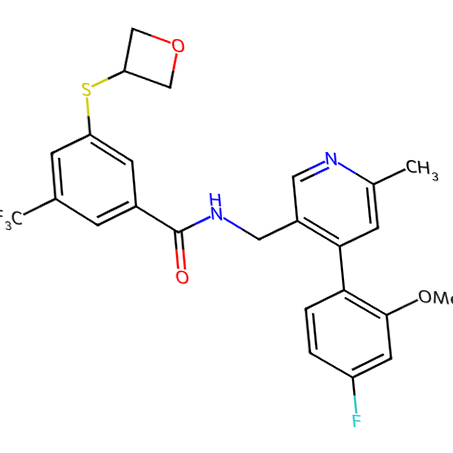 COc1cc(F)ccc1-c1cc(C)ncc1CNC(=O)c1cc(SC2COC2)cc(C(F)(F)F)c1